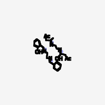 CC(=O)C/C(C)=N/CC/N=C(\C)CC(C)=O.Oc1ccccc1/C=N/CC/N=C/c1ccccc1O